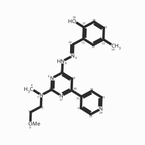 COCCN(C)c1nc(N/N=C/c2cc(C)ccc2O)cc(-c2ccncc2)n1